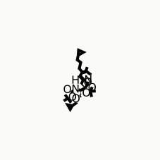 Cc1cnc(C[C@]2([C@H](COCC3CC3)NC(=O)OC(C)(C)C)OC(C)(C)OC2=O)cc1CCCC1CC1